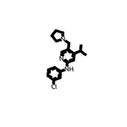 CC(C)c1cc(Nc2cccc(Cl)c2)ncc1CN1CCCC1